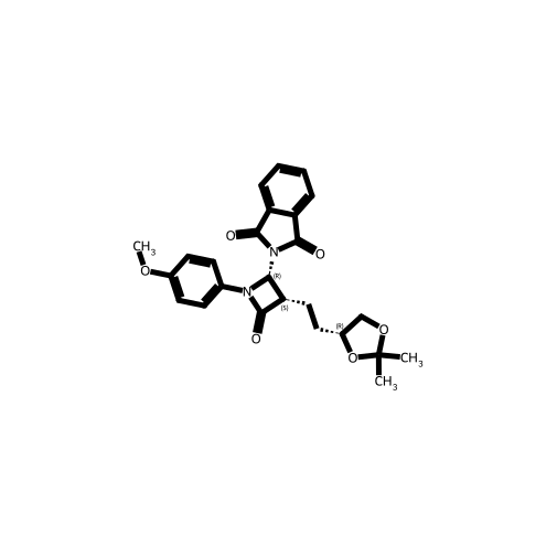 COc1ccc(N2C(=O)[C@@H](CC[C@@H]3COC(C)(C)O3)[C@H]2N2C(=O)c3ccccc3C2=O)cc1